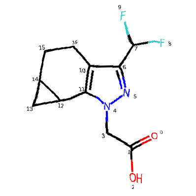 O=C(O)Cn1nc(C(F)F)c2c1C1CC1CC2